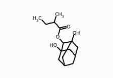 CCC(C)C(=O)OC1C2(O)CC3CC(C2)CC1(O)C3